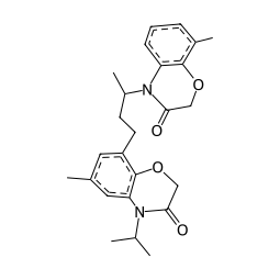 Cc1cc(CCC(C)N2C(=O)COc3c(C)cccc32)c2c(c1)N(C(C)C)C(=O)CO2